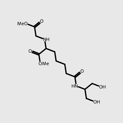 COC(=O)CNC(CCCCC(=O)NC(CO)CO)C(=O)OC